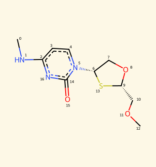 CNc1ccn([C@@H]2CO[C@H](COC)S2)c(=O)n1